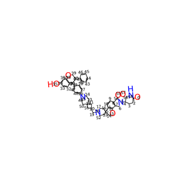 O=C1CCC(N2Cc3c(ccc4c3OCC43CCN(CC4CC5(CCN(c6ccc([C@@H]7c8ccc(O)cc8OC[C@@H]7c7ccccc7)cc6)CC5)C4)CC3)C2=O)C(=O)N1